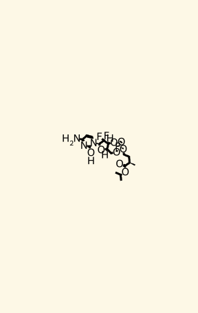 CC(C)OC(=O)[C@H](C)CCO[P@@]1(=O)OC[C@H]2O[C@@H](N3C=CC(N)=NC3O)C(F)(F)[C@@H]2O1